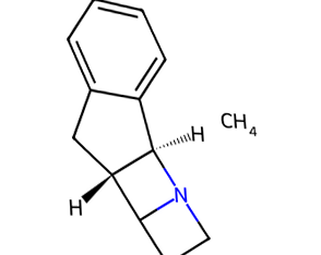 C.c1ccc2c(c1)C[C@H]1C3CCN3[C@H]21